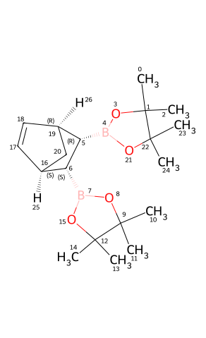 CC1(C)OB([C@@H]2[C@H](B3OC(C)(C)C(C)(C)O3)[C@H]3C=C[C@@H]2C3)OC1(C)C